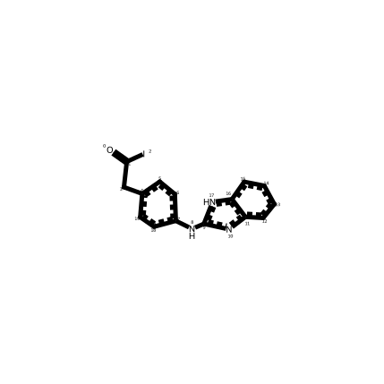 O=C(I)Cc1ccc(Nc2nc3ccccc3[nH]2)cc1